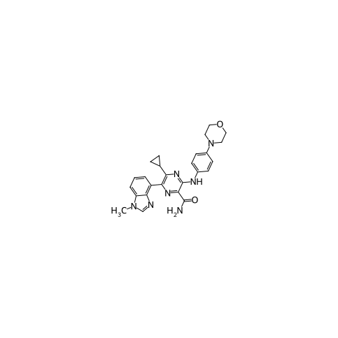 Cn1cnc2c(-c3nc(C(N)=O)c(Nc4ccc(N5CCOCC5)cc4)nc3C3CC3)cccc21